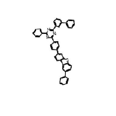 c1ccc(-c2cccc(-c3nc(-c4ccccc4)nc(-c4ccc(-c5ccc6c(c5)sc5ccc(-c7ccccc7)cc56)cc4)n3)c2)cc1